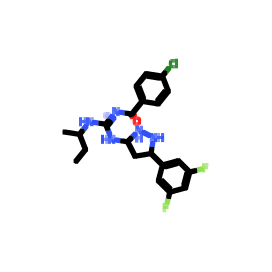 CCC(C)N/C(=N/C(=O)c1ccc(Cl)cc1)NC1CC(c2cc(F)cc(F)c2)NN1